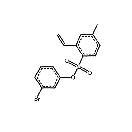 C=Cc1cc(C)ccc1S(=O)(=O)Oc1cccc(Br)c1